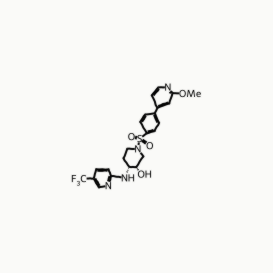 COc1cc(-c2ccc(S(=O)(=O)N3CC[C@@H](Nc4ccc(C(F)(F)F)cn4)[C@@H](O)C3)cc2)ccn1